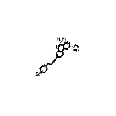 CCN1CCN(CCC#Cc2ccc3c(c2)ncc2c(N)nc(-n4ccnc4)cc23)CC1